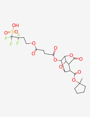 CC1(OC(=O)C2C3OC4C(OC(=O)C42)C3OC(=O)CCC(=O)OCCC(F)(F)C(F)(F)S(=O)(=O)O)CCCC1